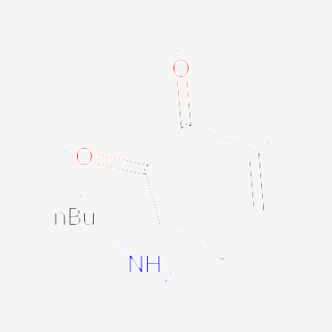 CCCCN.O=C1C=CC=CC1=O